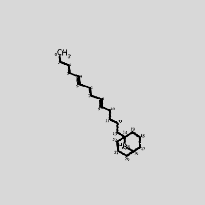 CCCCC=CCCC=CCCCCC12BC(CCC1)CCC2